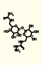 NNC(=S)NCC1O[C@H](O[C@H]2OC(CNC(N)=S)[C@H](O)C(O)C2O)C(O)C(O)[C@@H]1O